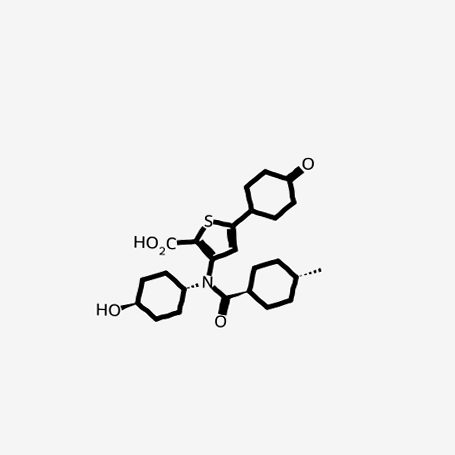 C[C@H]1CC[C@H](C(=O)N(c2cc(C3CCC(=O)CC3)sc2C(=O)O)[C@H]2CC[C@H](O)CC2)CC1